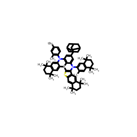 Cc1cc(C(C)(C)C)ccc1N1c2cc3c(cc2B2c4sc5cc6c(cc5c4N(c4cc5c(cc4C)C(C)(C)CCC5(C)C)c4cc(C57CC8CC(CC(C8)C5)C7)cc1c42)C(C)(C)CCC6(C)C)C(C)(C)CCC3(C)C